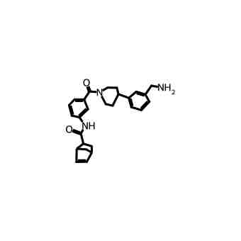 NCc1cccc(C2CCN(C(=O)c3cccc(NC(=O)C4CC5C=CC4C5)c3)CC2)c1